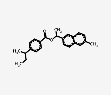 CCC(C)c1ccc(C(=O)OC(C)c2ccc3cc(C)ccc3c2)cc1